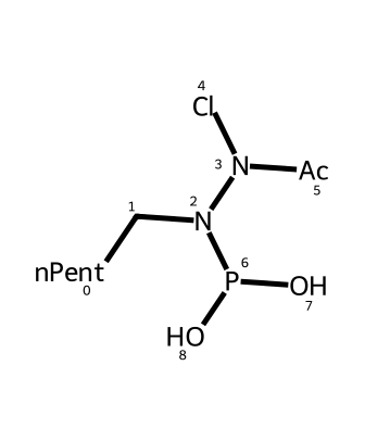 CCCCCCN(N(Cl)C(C)=O)P(O)O